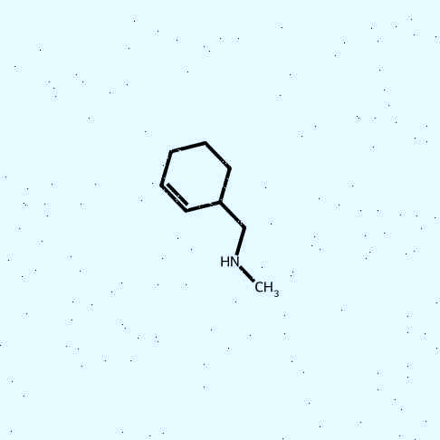 CNCC1C=CCCC1